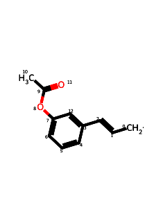 [CH2]/C=C/c1cccc(OC(C)=O)c1